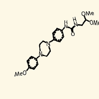 COc1ccc(N2CCN(c3ccc(NC(=O)NCC(OC)OC)cc3)CC2)cc1